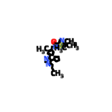 CCCCc1ncnc(-c2ccc(CNC(=O)c3cnc(C(C)(C)C)s3)c(C)c2)c1C1=C=CCC1